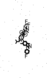 Cc1cc2c(cnn2-c2ccc(F)cc2)cc1C1CN(S(=O)(=O)c2cn(CC(F)F)nc2C)CCN1CC(C)C